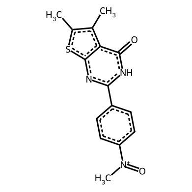 Cc1sc2nc(-c3ccc([N+](C)=O)cc3)[nH]c(=O)c2c1C